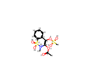 CC(=O)OC1=C(OS(C)(=O)=O)c2ccccc2S(=O)(=O)N1C